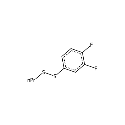 CCCSSc1ccc(F)c(F)c1